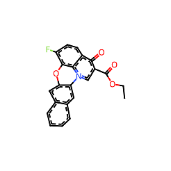 CCOC(=O)c1cn2c3c(c(F)ccc3c1=O)Oc1cc3ccccc3cc1-2